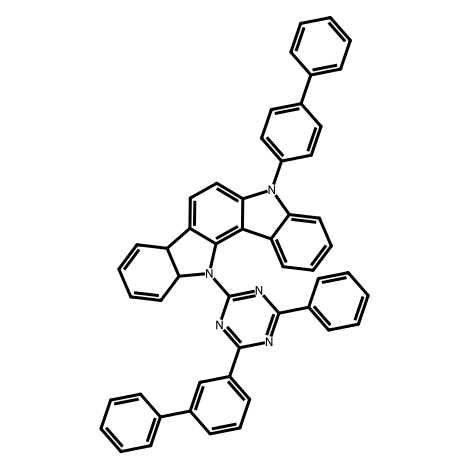 C1=CC2c3ccc4c(c3N(c3nc(-c5ccccc5)nc(-c5cccc(-c6ccccc6)c5)n3)C2C=C1)c1ccccc1n4-c1ccc(-c2ccccc2)cc1